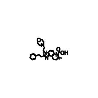 C[C@H]1CCc2c(ccc3c2nc(CCc2ccccc2)n3CCN2CCOCC2)N1C(=O)O